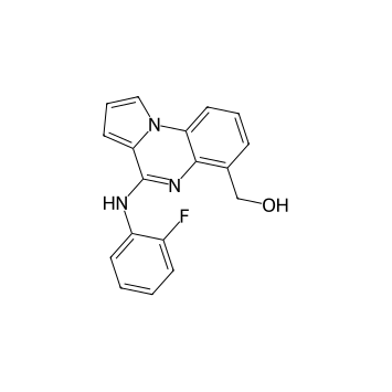 OCc1cccc2c1nc(Nc1ccccc1F)c1cccn12